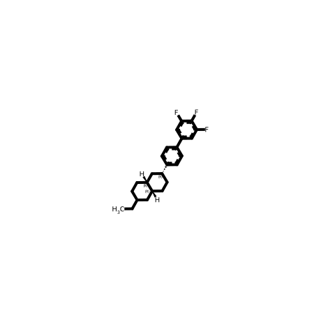 CCC1CC[C@@H]2C[C@H](c3ccc(-c4cc(F)c(F)c(F)c4)cc3)CC[C@@H]2C1